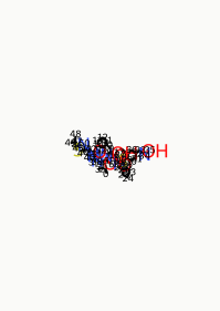 CCC(C)[C@@H](C(=O)N[C@@H](Cc1ccccc1)[C@H](O)CN(CC1CCCC1)S(=O)(=O)c1ccc(C=NO)cc1)N1CCN(Cc2csc(C(C)C)n2)C1=O